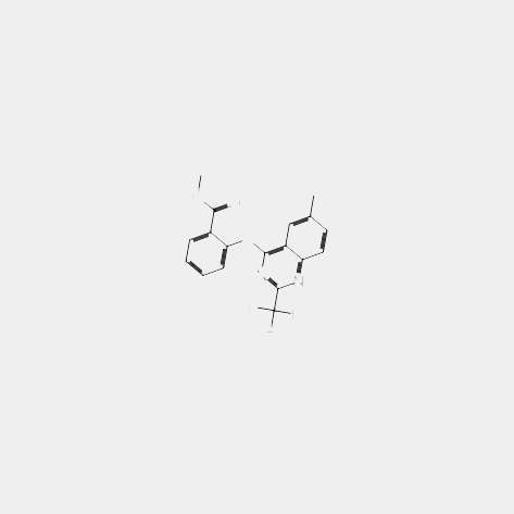 COC(=O)c1ccccc1Sc1nc(C(F)(F)F)nc2ccc(C)cc12